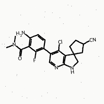 CN(C)C(=O)c1c(N)ccc(-c2cnc3c(c2Cl)C2(CCC(C#N)C2)CN3)c1F